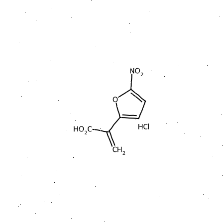 C=C(C(=O)O)c1ccc([N+](=O)[O-])o1.Cl